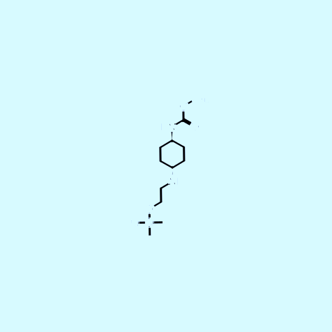 CC(C)(C)OC(=O)N[C@H]1CC[C@H](NCCO[Si](C)(C)C(C)(C)C)CC1